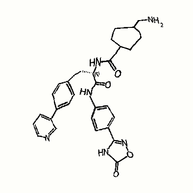 NCC1CCC(C(=O)N[C@@H](Cc2ccc(-c3cccnc3)cc2)C(=O)Nc2ccc(-c3noc(=O)[nH]3)cc2)CC1